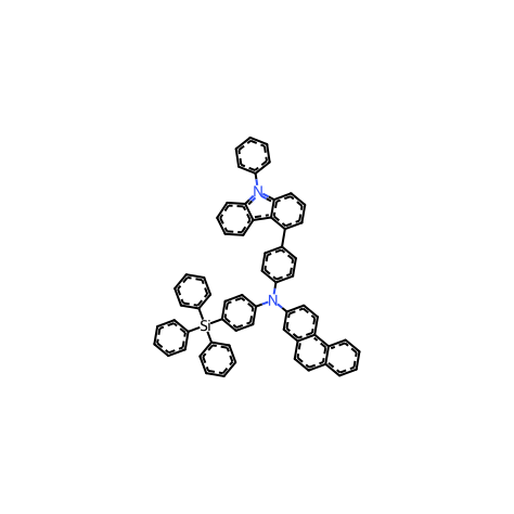 c1ccc(-n2c3ccccc3c3c(-c4ccc(N(c5ccc([Si](c6ccccc6)(c6ccccc6)c6ccccc6)cc5)c5ccc6c(ccc7ccccc76)c5)cc4)cccc32)cc1